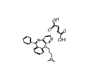 CN(C)CCCN1c2cnccc2N=C(c2ccccc2)c2ccccc21.O=C(O)/C=C/C(=O)O